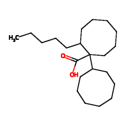 CCCCCC1CCCCCCC1(C(=O)O)C1CCCCCCC1